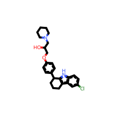 OC(COc1ccc(C2CCCc3c2[nH]c2ccc(Cl)cc32)cc1)CN1CCCCC1